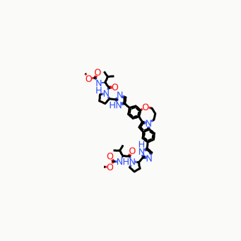 COC(=O)N[C@H](C(=O)N1CCCC1c1ncc(-c2ccc3c(c2)OCCCn2c-3cc3cc(-c4cnc(C5CCCN5C(=O)[C@@H](NC(=O)OC)C(C)C)[nH]4)ccc32)[nH]1)C(C)C